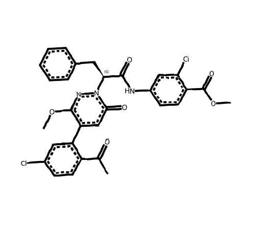 COC(=O)c1ccc(NC(=O)[C@H](Cc2ccccc2)n2nc(OC)c(-c3cc(Cl)ccc3C(C)=O)cc2=O)cc1Cl